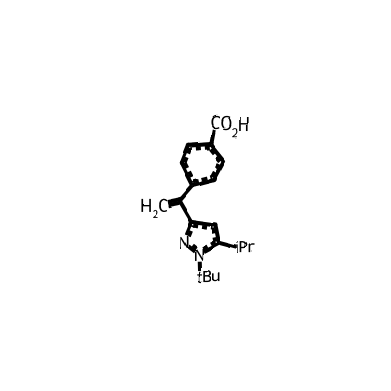 C=C(c1ccc(C(=O)O)cc1)c1cc(C(C)C)n(C(C)(C)C)n1